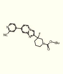 CC(C)(C)OC(=O)N1CCCC(F)(c2cn3ccc(-c4ccnc(C#N)c4)cc3n2)C1